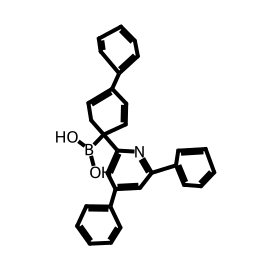 OB(O)C1(c2cc(-c3ccccc3)cc(-c3ccccc3)n2)C=CC(c2ccccc2)=CC1